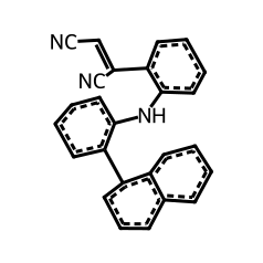 N#CC=C(C#N)c1ccccc1Nc1ccccc1-c1cccc2ccccc12